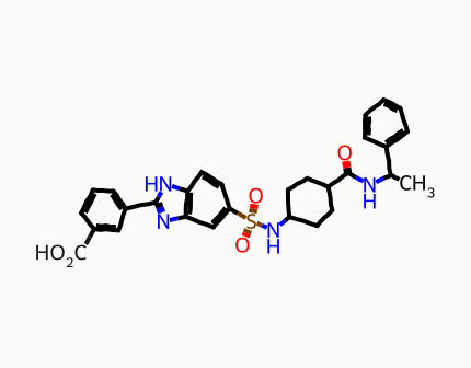 CC(NC(=O)C1CCC(NS(=O)(=O)c2ccc3[nH]c(-c4cccc(C(=O)O)c4)nc3c2)CC1)c1ccccc1